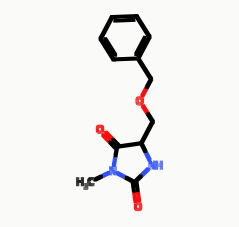 CN1C(=O)NC(COCc2ccccc2)C1=O